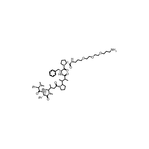 CCC(C)C(C(C)CC(=O)N1CCCC1C(C)C(C)C(=O)N[C@@H](Cc1ccccc1)C(=O)N1CCC[C@@H]1C(=O)NCCCOCCOCCOCCCN)N(C)C(=O)[C@@H](NC(=O)C(C(C)C)N(C)C)C(C)C